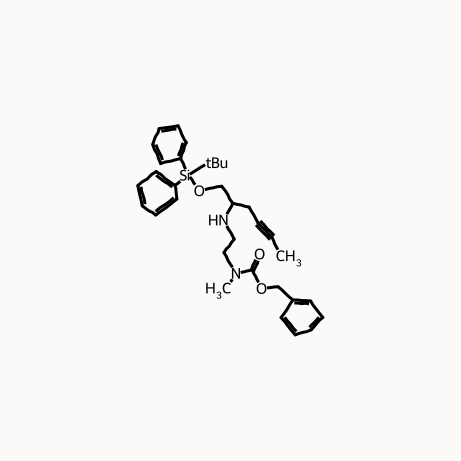 CC#CCC(CO[Si](c1ccccc1)(c1ccccc1)C(C)(C)C)NCCN(C)C(=O)OCc1ccccc1